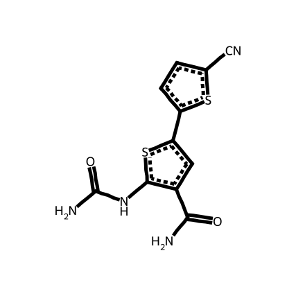 N#Cc1ccc(-c2cc(C(N)=O)c(NC(N)=O)s2)s1